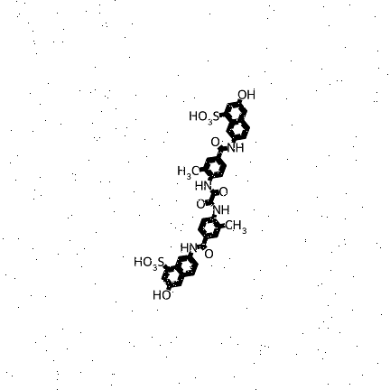 Cc1cc(C(=O)Nc2ccc3cc(O)cc(S(=O)(=O)O)c3c2)ccc1NC(=O)C(=O)Nc1ccc(C(=O)Nc2ccc3cc(O)cc(S(=O)(=O)O)c3c2)cc1C